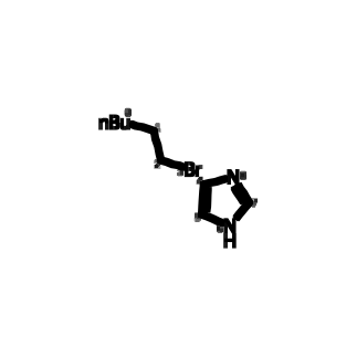 CCCCCCBr.c1c[nH]cn1